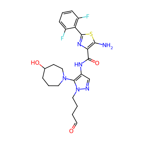 Nc1sc(-c2c(F)cccc2F)nc1C(=O)Nc1cnn(CCCC=O)c1N1CCCC(O)CC1